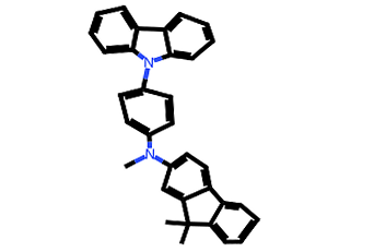 CN(c1ccc(-n2c3ccccc3c3ccccc32)cc1)c1ccc2c(c1)C(C)(C)c1ccccc1-2